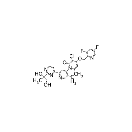 Cc1cnc(-c2ccnc(C(C)(O)CO)n2)cc1-n1c(C)cc(OCc2ncc(F)cc2F)c(Cl)c1=O